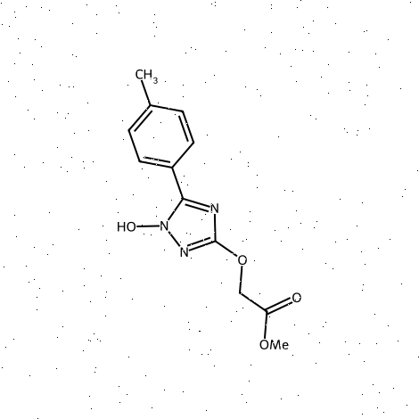 COC(=O)COc1nc(-c2ccc(C)cc2)n(O)n1